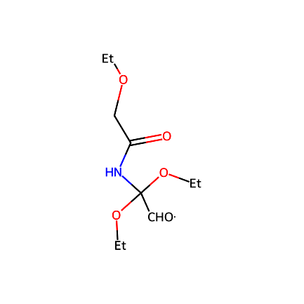 CCOCC(=O)NC([C]=O)(OCC)OCC